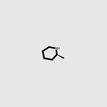 C[C@H]1C[CH]CCN1